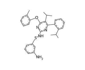 Cc1ccccc1Oc1nc(NSc2cccc(N)c2)nc(-c2ccccc2C(C)C)c1C(C)C